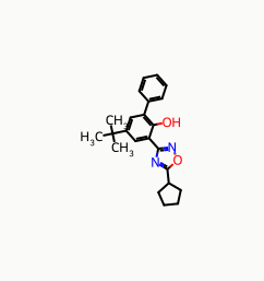 CC(C)(C)c1cc(-c2ccccc2)c(O)c(-c2noc(C3CCCC3)n2)c1